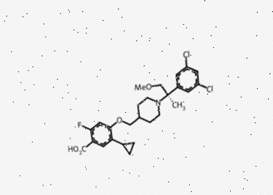 COC[C@@](C)(c1cc(Cl)cc(Cl)c1)N1CCC(COc2cc(F)c(C(=O)O)cc2C2CC2)CC1